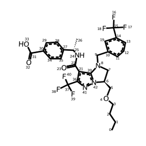 CCCCOC[C@@H]1CN(Cc2cccc(C(F)(F)F)c2)c2c(C(=O)N[C@@H](C)c3ccc(C(=O)O)cc3)c(C(F)(F)F)nn21